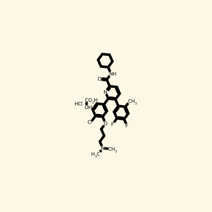 Cc1cc(F)c(F)cc1-c1ccc(C(=O)NC2CCCCC2)nc1-c1ccc(Cl)c(OCCCN(C)C)c1.Cl.O=C(O)O